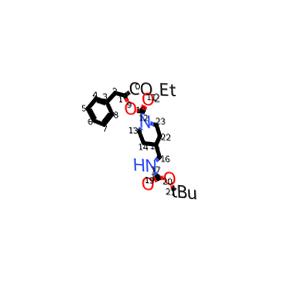 CCOC(=O)C(Cc1ccccc1)OC(=O)N1CCC(CNC(=O)OC(C)(C)C)CC1